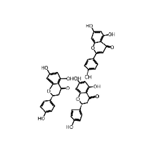 O=C1C[C@@H](c2ccc(O)cc2)Oc2cc(O)cc(O)c21.O=C1C[C@@H](c2ccc(O)cc2)Oc2cc(O)cc(O)c21.O=c1cc(-c2ccc(O)cc2)oc2cc(O)cc(O)c12